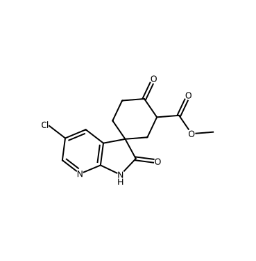 COC(=O)C1CC2(CCC1=O)C(=O)Nc1ncc(Cl)cc12